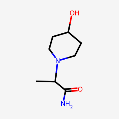 CC(C(N)=O)N1CCC(O)CC1